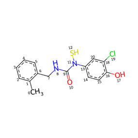 Cc1ccccc1CNC(=O)N(S)c1ccc(O)c(Cl)c1